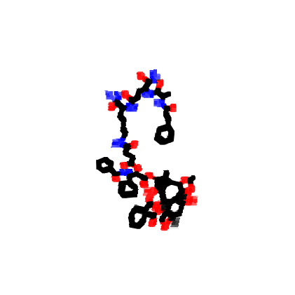 CC(=O)O[C@H]1C(=O)[C@@]2(C)[C@H]([C@H](OC(=O)c3ccccc3)[C@]3(O)C[C@H](OC(=O)[C@H](OC(=O)CCC(=O)NCCCCC(NC(=O)CC[C@H](NC(=O)C(C)NC(=O)/C=C/c4ccccc4)C(N)=O)C(N)=O)[C@H](NC(=O)c4ccccc4)c4ccccc4)C(C)=C1C3(C)C)[C@]1(OC(C)=O)CO[C@@H]1C[C@@H]2O